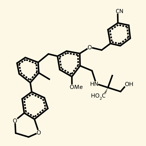 COc1cc(Cc2cccc(-c3ccc4c(c3)OCCO4)c2C)cc(OCc2cccc(C#N)c2)c1CN[C@@](C)(CO)C(=O)O